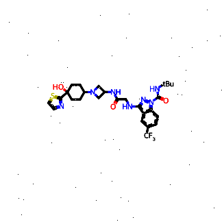 CC(C)(C)NC(=O)n1nc(NCC(=O)NC2CN(C3CCC(O)(c4nccs4)CC3)C2)c2cc(C(F)(F)F)ccc21